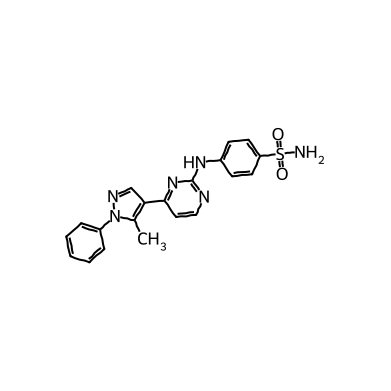 Cc1c(-c2ccnc(Nc3ccc(S(N)(=O)=O)cc3)n2)cnn1-c1ccccc1